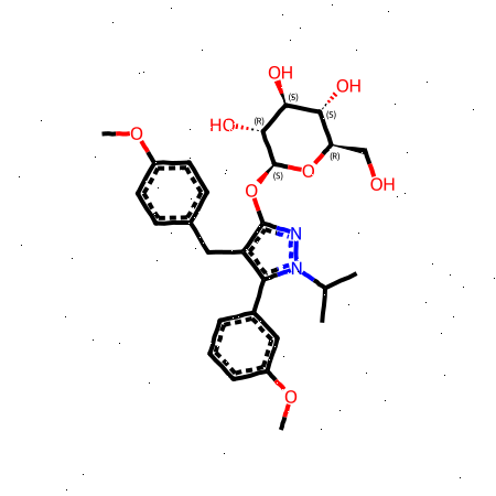 COc1ccc(Cc2c(O[C@@H]3O[C@H](CO)[C@@H](O)[C@H](O)[C@H]3O)nn(C(C)C)c2-c2cccc(OC)c2)cc1